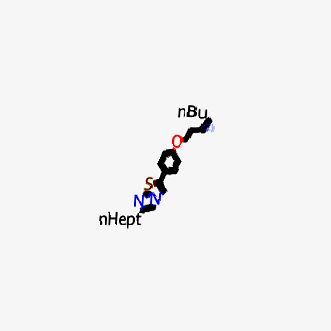 CCCC/C=C\CCOc1ccc(-c2cn3cc(CCCCCCC)nc3s2)cc1